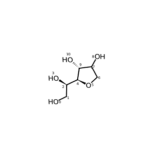 OC[C@@H](O)[C@@H]1OC[C](O)[C@H]1O